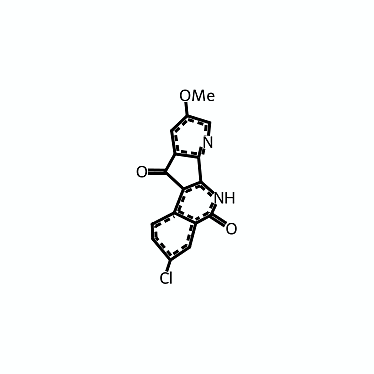 COc1cnc2c(c1)C(=O)c1c-2[nH]c(=O)c2cc(Cl)ccc12